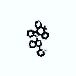 CC1(C)c2cnccc2-c2c(n(-c3ccc(C4C=CC=CN4)c4ccccc34)c3ccccc23)-c2ccccc21